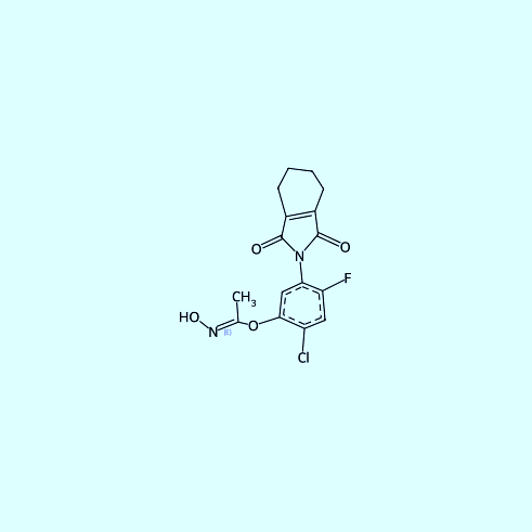 C/C(=N\O)Oc1cc(N2C(=O)C3=C(CCCC3)C2=O)c(F)cc1Cl